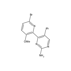 COc1ccc(Br)nc1-c1nc(N)ncc1C(C)C